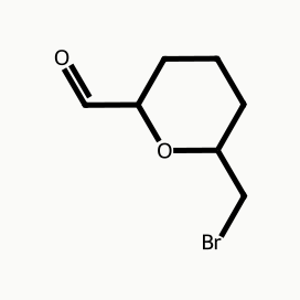 O=CC1CCCC(CBr)O1